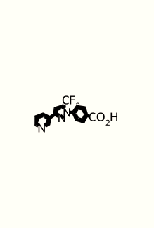 O=C(O)c1ccc(-n2nc(-c3cccnc3)cc2C(F)(F)F)cc1